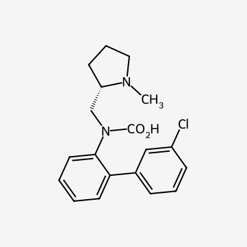 CN1CCC[C@H]1CN(C(=O)O)c1ccccc1-c1cccc(Cl)c1